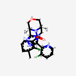 Cc1cccc(C(=O)N2[C@H]3COC[C@@H]2c2nnc(-c4ncccc4F)n2C3)c1F